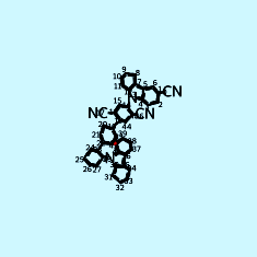 N#Cc1ccc2c(c1)c1ccccc1n2-c1cc(C#N)c(-c2ccc(-c3ccccc3-n3c4ccccc4c4ccccc43)cc2)cc1C#N